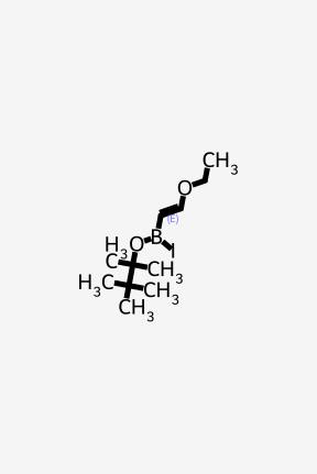 CCO/C=C/B(I)OC(C)(C)C(C)(C)C